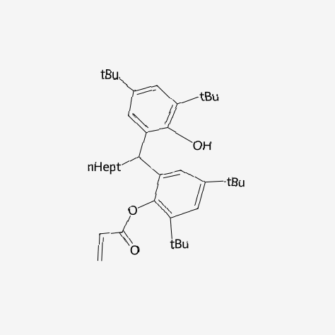 C=CC(=O)Oc1c(C(CCCCCCC)c2cc(C(C)(C)C)cc(C(C)(C)C)c2O)cc(C(C)(C)C)cc1C(C)(C)C